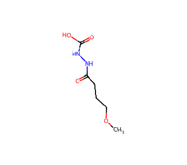 COCCCC(=O)NNC(=O)O